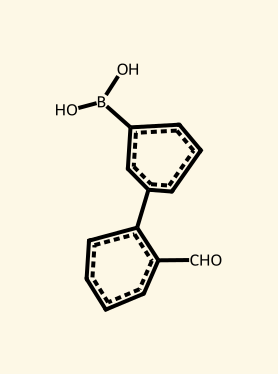 O=Cc1ccccc1-c1cccc(B(O)O)c1